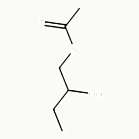 CCC(O)CSC(C)=S